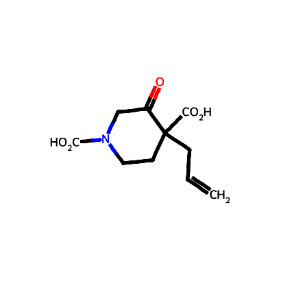 C=CCC1(C(=O)O)CCN(C(=O)O)CC1=O